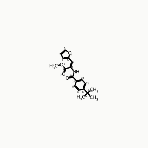 COC(=O)C(=Cc1ccco1)NC(=O)c1ccc(C(C)(C)C)cc1